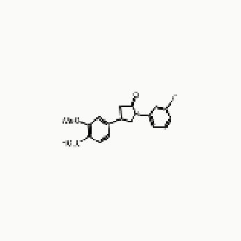 COc1cc(C2CC(=O)N(c3cccc(Cl)c3)C2)ccc1C(=O)O